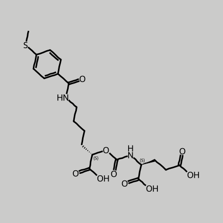 CSc1ccc(C(=O)NCCCC[C@H](OC(=O)N[C@@H](CCC(=O)O)C(=O)O)C(=O)O)cc1